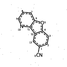 N#Cc1ccc2oc3cccnc3c2c1